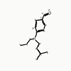 CCCN(CCC(C)C)c1ccc(C=O)cc1